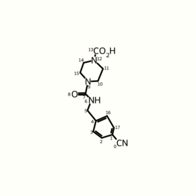 N#Cc1ccc(CNC(=O)N2CCN(C(=O)O)CC2)cc1